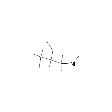 CCC(C)(C(C)(C)C)C(C)(C)NC